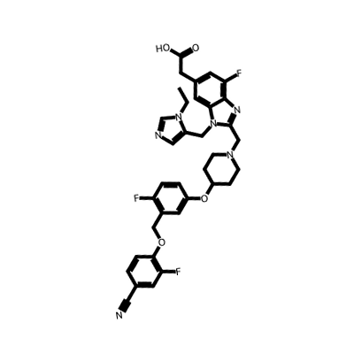 CCn1cncc1Cn1c(CN2CCC(Oc3ccc(F)c(COc4ccc(C#N)cc4F)c3)CC2)nc2c(F)cc(CC(=O)O)cc21